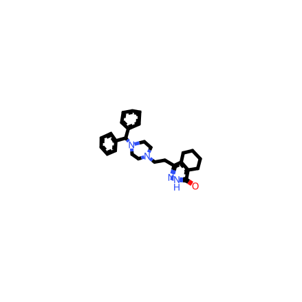 O=c1[nH]nc(CCN2CCN(C(c3ccccc3)c3ccccc3)CC2)c2c1CCCC2